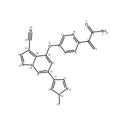 C=C(C(N)=O)c1ccc(Oc2cc(-c3cnn(C)c3)cn3ncc(C#N)c23)cn1